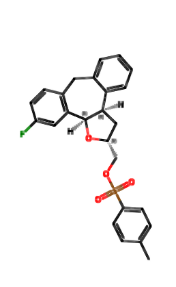 Cc1ccc(S(=O)(=O)OC[C@H]2C[C@@H]3c4ccccc4Cc4ccc(F)cc4[C@@H]3O2)cc1